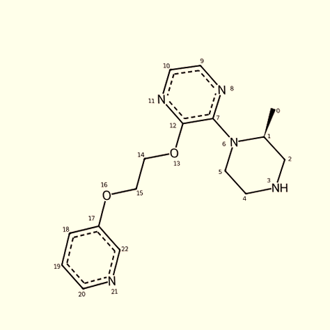 C[C@H]1CNCCN1c1nccnc1OCCOc1cccnc1